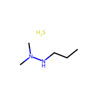 CCCNN(C)C.S